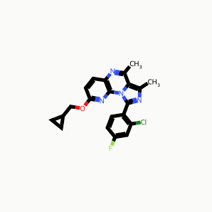 Cc1nc(-c2ccc(F)cc2Cl)n2c1c(C)nc1ccc(OCC3CC3)nc12